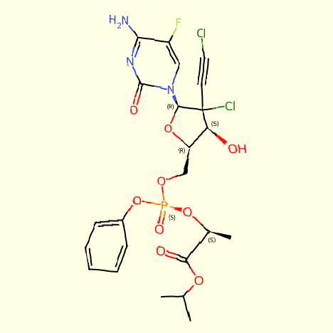 CC(C)OC(=O)[C@H](C)O[P@](=O)(OC[C@H]1O[C@@H](n2cc(F)c(N)nc2=O)C(Cl)(C#CCl)[C@H]1O)Oc1ccccc1